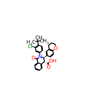 CC(C)(C)c1ccc(N2C(=O)c3ccccc3[C@@H](C(=O)O)[C@@H]2c2ccc3c(c2)CCCO3)cc1Cl